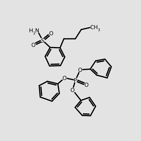 CCCCc1ccccc1S(N)(=O)=O.O=P(Oc1ccccc1)(Oc1ccccc1)Oc1ccccc1